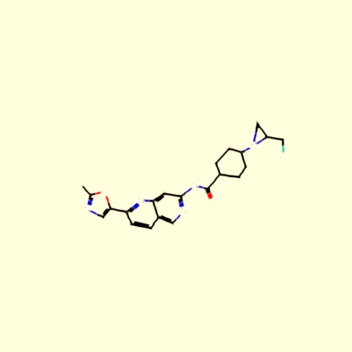 Cc1ncc(-c2ccc3cnc(NC(=O)C4CCC(N5CC5CF)CC4)cc3n2)o1